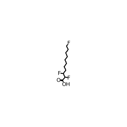 O=C(O)C(F)C(F)CCCCCCCCF